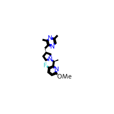 COc1ccc(F)c([C@H](C)N2CC[C@H](Cc3ncc(C)nc3C)C2)n1